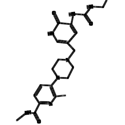 CCNC(=O)Nc1cc(CN2CCN(c3ccc(C(=O)NC)nc3C)CC2)c[nH]c1=O